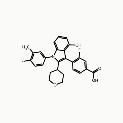 Cc1cc(-n2c(C3CCOCC3)c(-c3ccc(C(=O)O)cc3F)c3c(O)cccc32)ccc1F